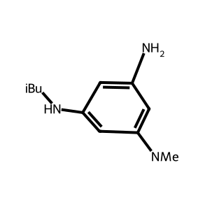 CCC(C)Nc1cc(N)cc(NC)c1